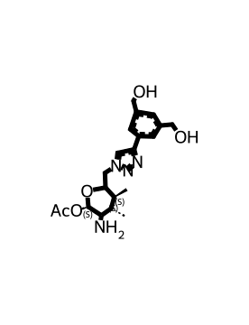 CC(=O)O[C@@H]1OC(Cn2cc(-c3cc(CO)cc(CO)c3)nn2)[C@@H](C)[C@H](C)C1N